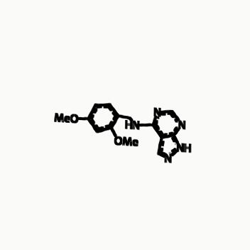 COc1ccc(CNc2ncnc3[nH]ncc23)c(OC)c1